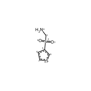 N[CH]S(=O)(=O)c1ccsc1